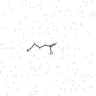 C=C(Cl)CCCBr